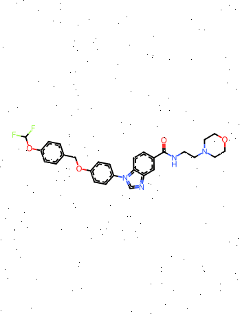 O=C(NCCN1CCOCC1)c1ccc2c(c1)ncn2-c1ccc(OCc2ccc(OC(F)F)cc2)cc1